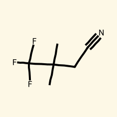 CC(C)(CC#N)C(F)(F)F